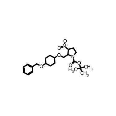 CC(C)(C)OC(=O)N1CCC([N+](=O)[O-])C1COC1CCC(OCc2ccccc2)CC1